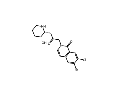 O=C(C[C@H]1NCCC[C@H]1O)Cn1cnc2cc(Br)c(Cl)cc2c1=O